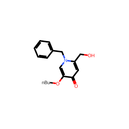 CCCCOc1cn(Cc2ccccc2)c(CO)cc1=O